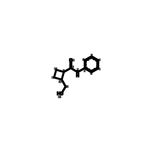 O=C(Nc1ccccc1)C1CCC1CO